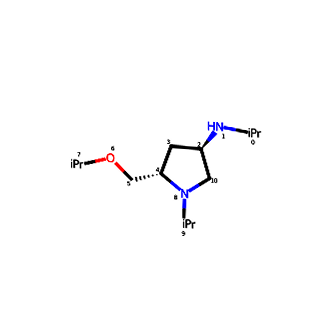 CC(C)N[C@@H]1C[C@@H](COC(C)C)N(C(C)C)C1